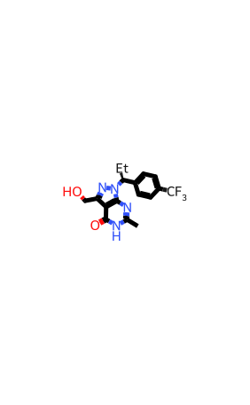 CC[C@@H](c1ccc(C(F)(F)F)cc1)n1nc(CO)c2c(=O)[nH]c(C)nc21